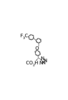 Cn1nnnc1[C@@H](CC(=O)O)c1ccc(OCc2cccc(-c3ccc(C(F)(F)F)cc3)c2)cc1